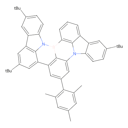 Cc1cc(C)c(-c2cc3c4c(c2)-n2c5ccc(C(C)(C)C)cc5c5cccc(c52)B4n2c4ccc(C(C)(C)C)cc4c4cc(C(C)(C)C)cc-3c42)c(C)c1